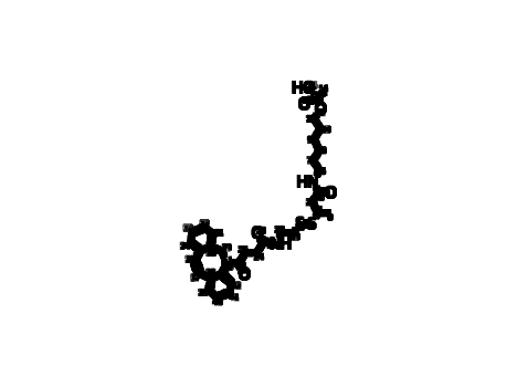 CC(CC(=O)NCCCCCCOP(C)(=O)O)SSCCNC(=O)CCC(=O)N1Cc2ccccc2C#Cc2ccccc21